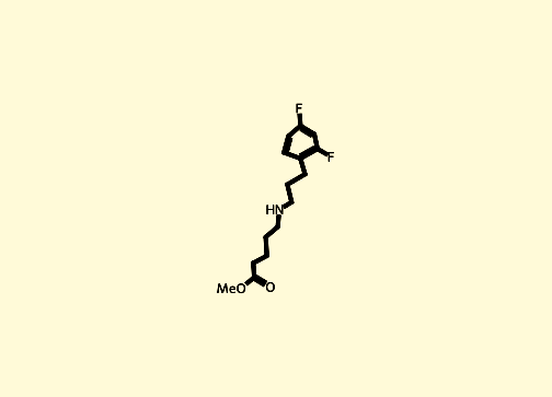 COC(=O)CCCCNCCCc1ccc(F)cc1F